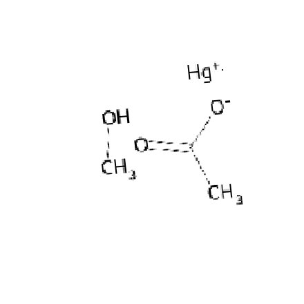 CC(=O)[O-].CO.[Hg+]